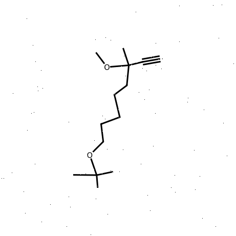 [C]#CC(C)(CCCCCOC(C)(C)C)OC